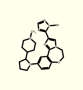 CC(C)n1ncnc1-c1cn2c(n1)-c1cc(N3CCCC3C3CCN(C)CC3)ccc1OCC2